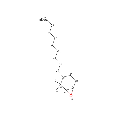 CCCCCCCCCCCCCCCCCCC1CCC2OC2C1(C)C